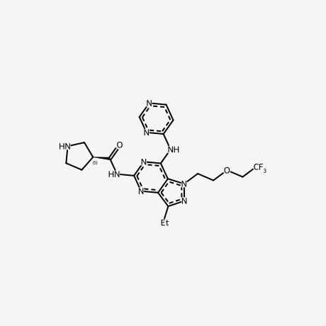 CCc1nn(CCOCC(F)(F)F)c2c(Nc3ccncn3)nc(NC(=O)[C@H]3CCNC3)nc12